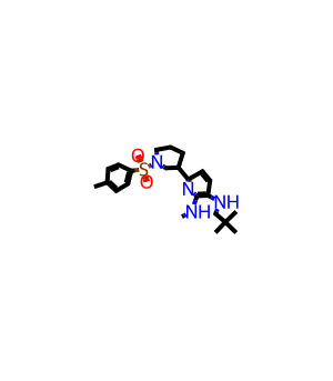 CNc1nc(C2CCCN(S(=O)(=O)c3ccc(C)cc3)C2)ccc1NCC(C)(C)C